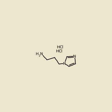 Cl.Cl.NCCCn1ccnc1